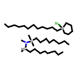 CCCCCCCCCCCC[Si]1(Br)CCCCC1.CCCCCCCC[SiH](C)N(C)[Si](C)(C)CCCCCCCC